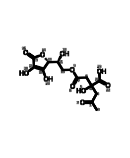 CC(=O)CC(O)(CC(=O)OC[C@H](O)[C@H]1OC(=O)C(O)=C1O)C(=O)O